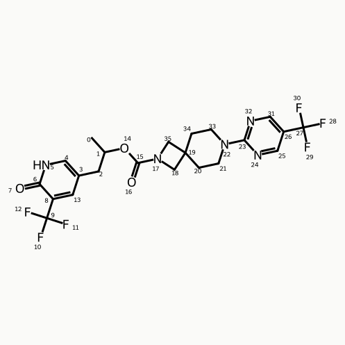 CC(Cc1c[nH]c(=O)c(C(F)(F)F)c1)OC(=O)N1CC2(CCN(c3ncc(C(F)(F)F)cn3)CC2)C1